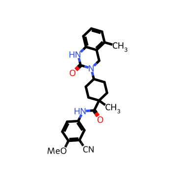 COc1ccc(NC(=O)C2(C)CCC(N3Cc4c(C)cccc4NC3=O)CC2)cc1C#N